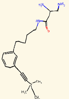 C[Si](C)(C)C#Cc1cccc(CCCCNC(=O)C(N)CN)c1